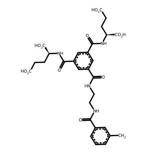 Cc1cccc(C(=O)NCCNC(=O)c2cc(C(=O)N[C@@H](CCC(=O)O)C(=O)O)cc(C(=O)N[C@@H](CCC(=O)O)C(=O)O)c2)c1